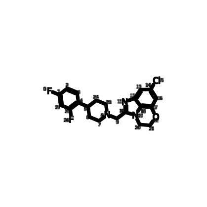 Fc1ccc(C2CCN(Cc3nc4cc(Cl)cc5c4n3CCO5)CC2)c(F)c1